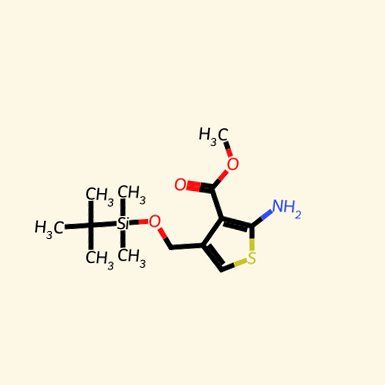 COC(=O)c1c(CO[Si](C)(C)C(C)(C)C)csc1N